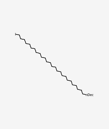 CCCCCCCCCCCCCCCCCCCCCCCCCCCCCCCCCCCCI